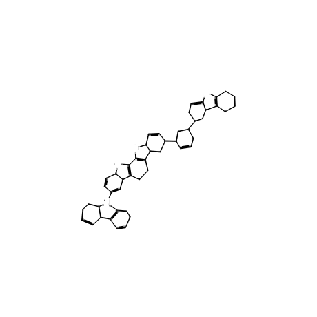 C1=CC2=C(CC1)N(C1=CC3C4=C(OC3C=C1)C1=C(CC4)C3CC(C4C=CCC(C5CC=C6OC7=C(CCCC7)C6C5)C4)C=CC3O1)C1CCC=CC21